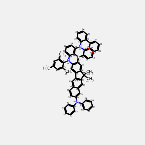 Cc1cc(C)c(N2c3cc4c(cc3B3c5ccccc5N(c5ccccc5-c5ccccc5)c5cccc2c53)C(C)(C)c2cc3cc(N(c5ccccc5)c5ccccc5)ccc3cc2-4)c(C)c1